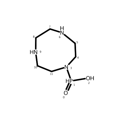 O=[PH](O)N1CCNCCNCC1